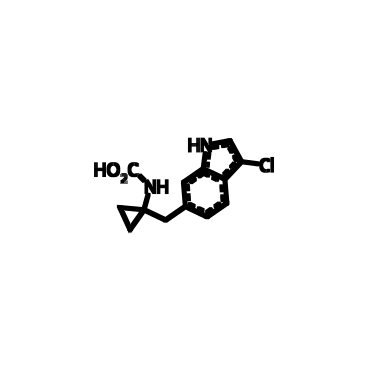 O=C(O)NC1(Cc2ccc3c(Cl)c[nH]c3c2)CC1